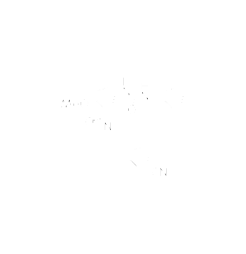 COc1ccc(NC(=O)NCc2ccccc2)cc1C(=O)N1CCC(c2ccc(C#N)cc2)CC1